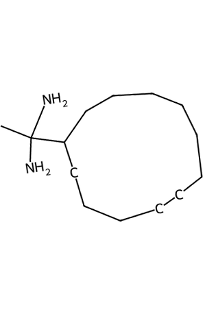 CC(N)(N)C1CCCCCCCCCCC1